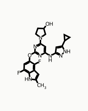 Cc1cc2c(F)c(Oc3nc(Nc4cc(C5CC5)[nH]n4)cc(N4CCC(O)C4)n3)cc(F)c2[nH]1